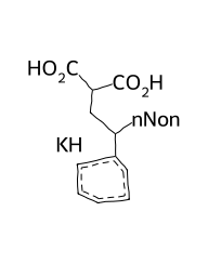 CCCCCCCCCC(CC(C(=O)O)C(=O)O)c1ccccc1.[KH]